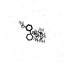 [2H]Oc1cccc([C@]2(O[2H])CCCC[C@H]2C([2H])([2H])N(C([2H])([2H])[2H])C([2H])([2H])[2H])c1